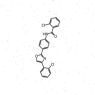 O=C(Nc1ccc(-c2nc(-c3ccccc3Cl)co2)cc1)c1ccccc1Cl